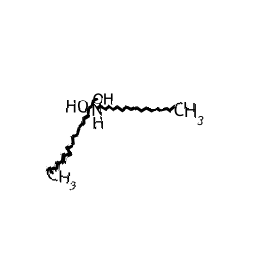 CCCCCCCCCCCCCC=CC(O)C(CO)NCCCCCCCCCCCCCCCCCC